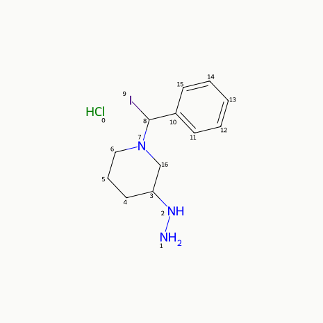 Cl.NNC1CCCN(C(I)c2ccccc2)C1